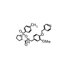 COc1cc(CNC(=O)[C@@H]2CCCN2S(=O)(=O)c2ccc(C)cc2)ccc1OCc1ccncc1